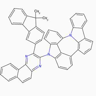 CC1(C)c2ccccc2-c2cc(-c3nc4c(ccc5ccccc54)nc3-n3c4cccc5c6cccc7c8ccccc8n(c8cccc3c8c54)c67)ccc21